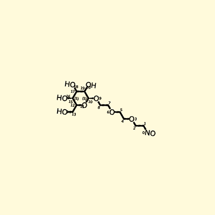 O=NCCOCCOCCO[C@H]1OC(CO)[C@@H](O)C(O)C1O